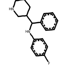 Fc1ccc(NC(c2ccccc2)C2CCCNC2)cc1